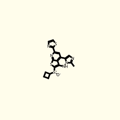 Cc1ncc2c3cc(-c4nccs4)nc4sc([S@+]([O-])C5CCC5)c([nH]n12)c43